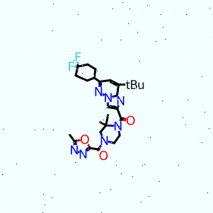 Cc1nnc(C(=O)N2CCN(C(=O)c3cn4nc(C5CCC(F)(F)CC5)cc(C(C)(C)C)c4n3)C(C)(C)C2)o1